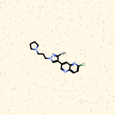 CCCc1nn(CCCN2CCCC2)cc1-c1cnc2ccc(Cl)nc2c1